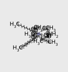 CCCCCCCCCCCCC(C/C=C(/CCCC(C)C(CCCC)CCS(=O)(=O)C(N)CCC(C)CC)CC(CCCCCCCCCCCC)OC(C)=O)OC(C)=O